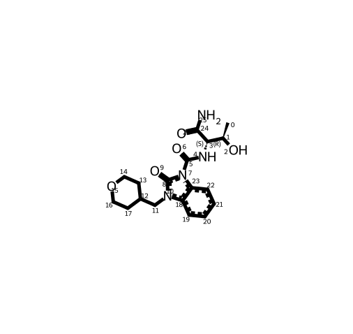 C[C@@H](O)[C@H](NC(=O)n1c(=O)n(CC2CCOCC2)c2ccccc21)C(N)=O